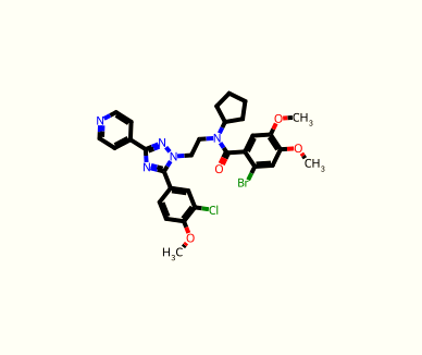 COc1ccc(-c2nc(-c3ccncc3)nn2CCN(C(=O)c2cc(OC)c(OC)cc2Br)C2CCCC2)cc1Cl